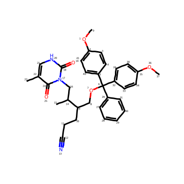 COc1ccc(C(OCC([CH]CC#N)C(C)Cn2c(=O)[nH]cc(C)c2=O)(c2ccccc2)c2ccc(OC)cc2)cc1